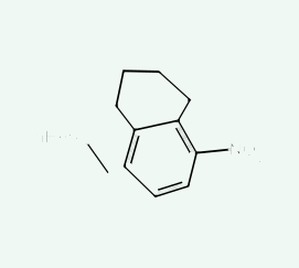 CCCCCCCC.O=[N+]([O-])c1cccc2c1CCCC2